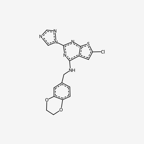 Clc1cc2c(NCc3ccc4c(c3)OCCO4)nc(-n3cncn3)nc2s1